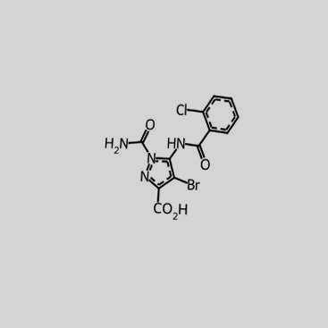 NC(=O)n1nc(C(=O)O)c(Br)c1NC(=O)c1ccccc1Cl